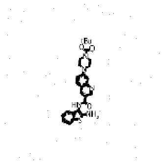 CC(C)(C)OC(=O)N1CCN(c2ccc3cc(C(=O)Nc4c(N)sc5ccccc45)cnc3c2)CC1